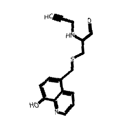 C#CCNC(C=O)CSCc1ccc(O)c2ncccc12